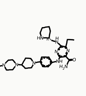 CCc1nc(C(N)=O)c(Nc2ccc(N3CCC(N4CCN(C)CC4)CC3)cc2)nc1NC[C@H]1CCCCN1